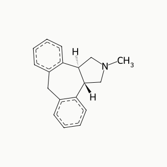 CN1C[C@@H]2c3ccccc3Cc3ccccc3[C@H]2C1